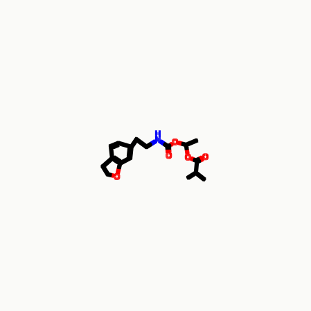 CC(OC(=O)NCCc1ccc2c(c1)OCC2)OC(=O)C(C)C